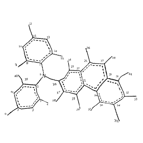 Cc1cc(C)c(N(c2c(C)cc(C)cc2C)c2c(C)c(C)c3c(c2C)c(C)c(C)c2c(C)c(C)c(C)c(C)c23)c(C)c1